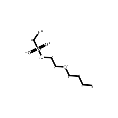 CCCCOCCOS(=O)(=O)CF